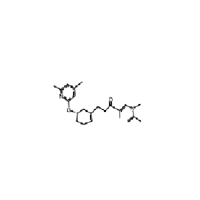 C=C(C)N(C)/C=C(\C)C(=O)CCC1=CCC[C@@H](Oc2cc(C)cc(C)n2)C1